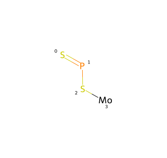 S=P[S][Mo]